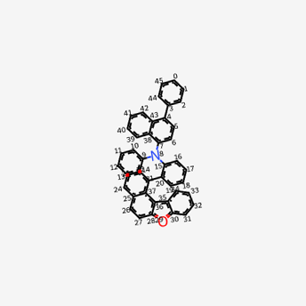 c1ccc(-c2ccc(N(c3ccccc3)c3ccccc3-c3cccc4ccc5oc6ccccc6c5c34)c3ccccc23)cc1